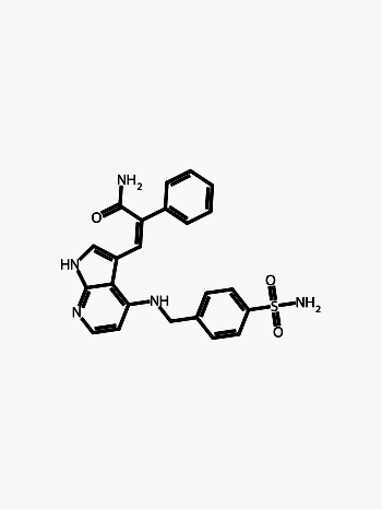 NC(=O)C(=Cc1c[nH]c2nccc(NCc3ccc(S(N)(=O)=O)cc3)c12)c1ccccc1